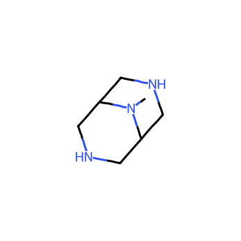 CN1C2CNCC1CNC2